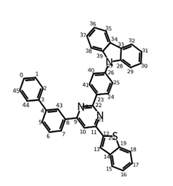 c1ccc(-c2cccc(-c3cc(-c4cc5ccccc5s4)nc(-c4ccc(-n5c6ccccc6c6ccccc65)cc4)n3)c2)cc1